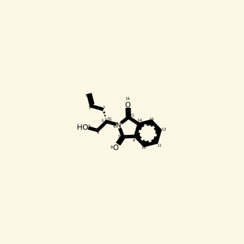 C=CC[C@@H](CO)N1C(=O)c2ccccc2C1=O